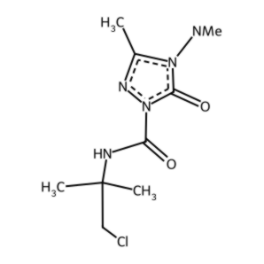 CNn1c(C)nn(C(=O)NC(C)(C)CCl)c1=O